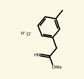 COC(=N)Cc1cccc(C)c1.[Cl-].[H+]